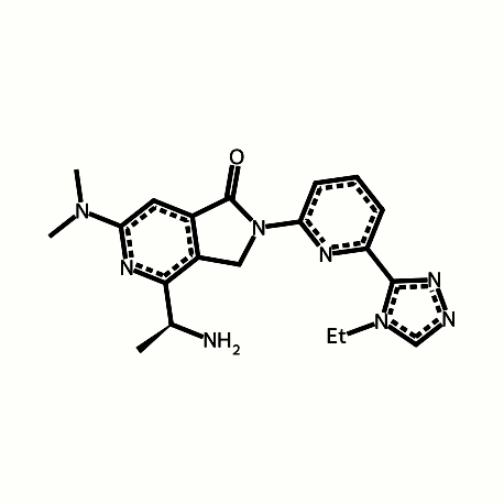 CCn1cnnc1-c1cccc(N2Cc3c(cc(N(C)C)nc3[C@H](C)N)C2=O)n1